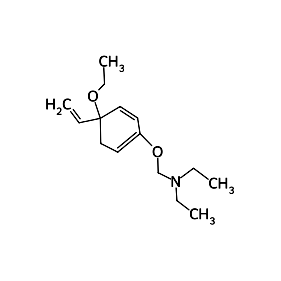 C=CC1(OCC)C=CC(OCN(CC)CC)=CC1